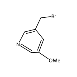 COc1cncc(CBr)c1